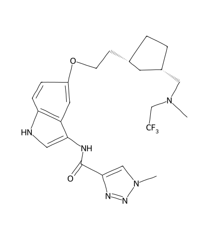 CN(C[C@H]1CC[C@@H](CCOc2ccc3[nH]cc(NC(=O)c4cn(C)nn4)c3c2)C1)CC(F)(F)F